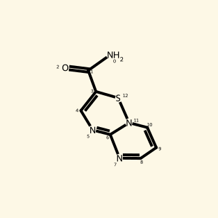 NC(=O)C1=CN=C2N=CC=CN2S1